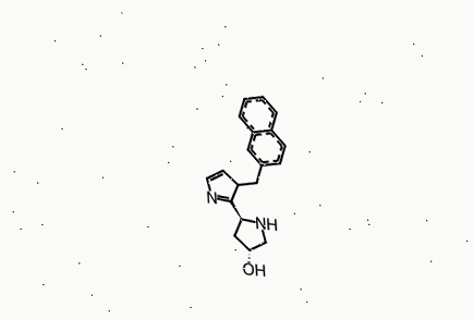 O[C@H]1CN[C@H](C2=NC=CC2Cc2ccc3ccccc3c2)C1